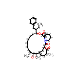 CC[C@H](Cc1ccccc1)[C@@H]1CCCCCC[C@@H](C)[C@H](O)[C@@H](C)[C@@H]2CC[C@@H](C)C(=O)C(O)(C2)C(=O)N2CCCC[C@H]2C(=O)O1